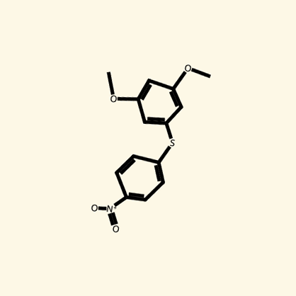 COc1cc(OC)cc(Sc2ccc([N+](=O)[O-])cc2)c1